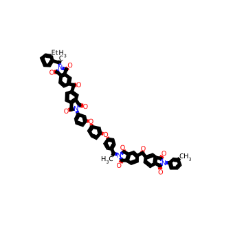 CCc1ccccc1C(C)N1C(=O)c2ccc(C(=O)c3ccc4c(c3)C(=O)N(c3cccc(Oc5cccc(Oc6ccc(C(C)N7C(=O)c8ccc(C(=O)c9ccc%10c(c9)C(=O)N(c9cccc(C)c9)C%10=O)cc8C7=O)cc6)c5)c3)C4=O)cc2C1=O